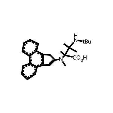 CN(C1=Cc2c(c3ccccc3c3ccccc23)C1)C(C)(C(=O)O)C(C)(C)NC(C)(C)C